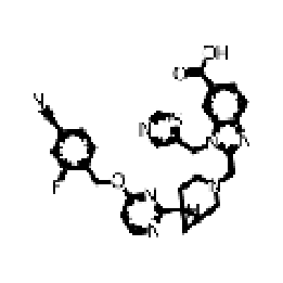 N#Cc1ccc(COc2ccnc([C@@]34CCN(Cc5nc6ccc(C(=O)O)cc6n5Cc5cncs5)C[C@@H]3C4)n2)c(F)c1